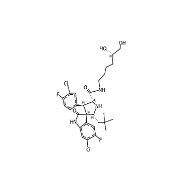 CC(C)(C)C[C@H]1N[C@@H](C(=O)NCCCC[C@H](O)CO)[C@H](c2ccc(F)c(Cl)c2)[C@@]12C(=O)Nc1cc(Cl)c(F)cc12